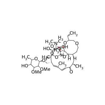 C=CC1COCC[C@H]2C[C@@H](C)C(=O)/C=C/C(C)=C/[C@H](CO[C@@H]3OC(C)C(O)C(OC)C3OC)[C@@H](I)OC(=O)C[C@@H](O1)[C@H](C)[C@H]2OC1OC(C)[C@@H](O)C(N(C)C)C1O